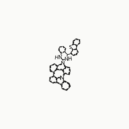 c1ccc2c(c1)NC(n1c3cccc4c5cccc6c7ccccc7n(c7cccc1c7c43)c56)NC2c1cccc2c1sc1ccccc12